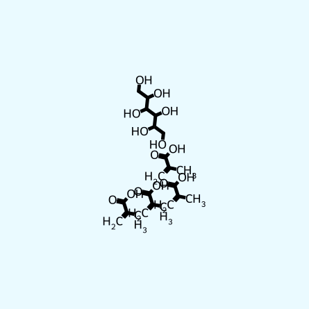 C=C(C)C(=O)O.C=C(C)C(=O)O.C=C(C)C(=O)O.C=C(C)C(=O)O.OCC(O)C(O)C(O)C(O)CO